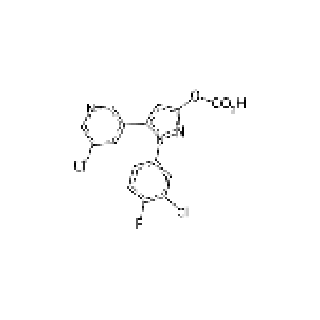 O=C(O)Oc1cc(-c2cncc(Cl)c2)n(-c2ccc(F)c(Cl)c2)n1